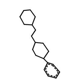 c1ccc(C2CCC(CCC3CCCCC3)CC2)cc1